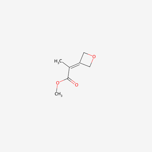 COC(=O)C(C)=C1COC1